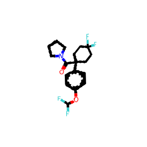 O=C(N1CCCC1)C1(c2ccc(OC(F)F)cc2)CCC(F)(F)CC1